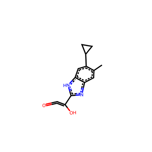 Cc1cc2nc(C(O)=C=O)[nH]c2cc1C1CC1